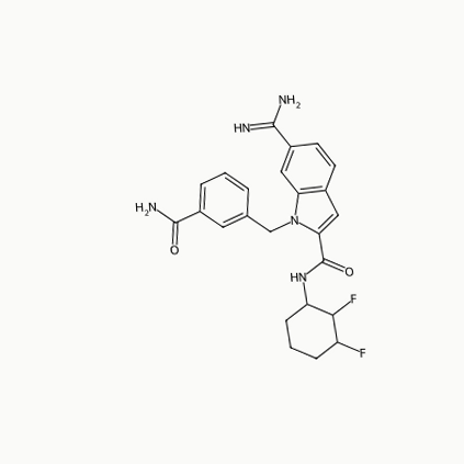 N=C(N)c1ccc2cc(C(=O)NC3CCCC(F)C3F)n(Cc3cccc(C(N)=O)c3)c2c1